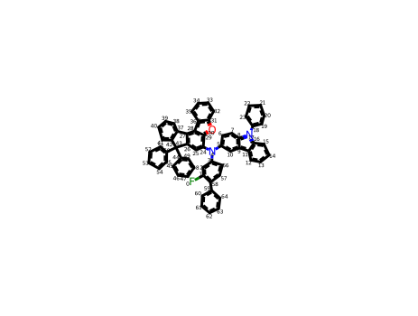 Fc1cc(N(c2ccc3c(c2)c2ccccc2n3-c2ccccc2)c2cc3c(c4c2oc2ccccc24)-c2ccccc2C3(c2ccccc2)c2ccccc2)ccc1-c1ccccc1